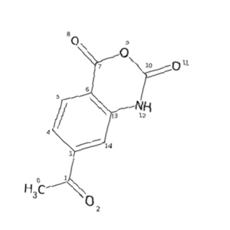 CC(=O)c1ccc2c(=O)oc(=O)[nH]c2c1